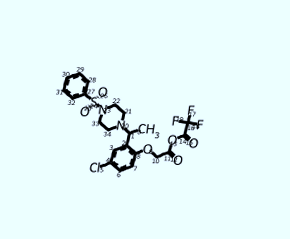 CC(c1cc(Cl)ccc1OCC(=O)OC(=O)C(F)(F)F)N1CCN(S(=O)(=O)c2ccccc2)CC1